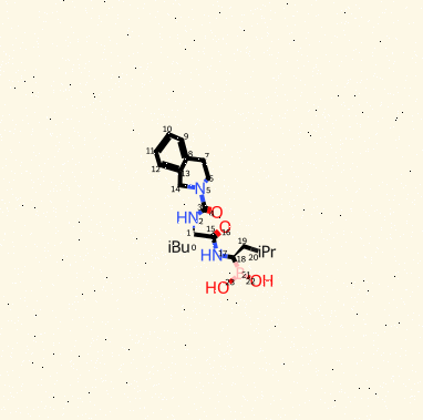 CC[C@H](C)[C@H](NC(=O)N1CCc2ccccc2C1)C(=O)N[C@@H](CC(C)C)B(O)O